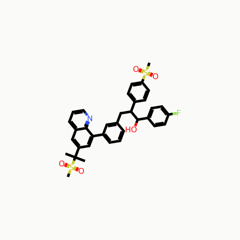 CC(C)(c1cc(-c2cccc(CC(c3ccc(S(C)(=O)=O)cc3)C(O)c3ccc(F)cc3)c2)c2ncccc2c1)S(C)(=O)=O